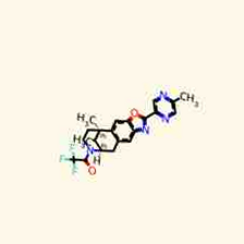 Cc1cnc(-c2nc3cc4c(cc3o2)[C@]2(C)CCN(C(=O)C(F)(F)F)[C@H](C4)C2C)cn1